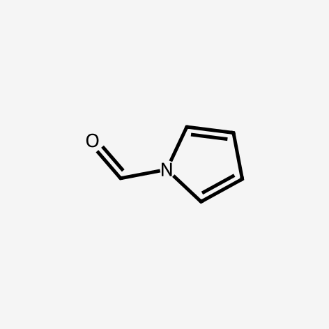 O=Cn1cccc1